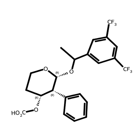 CC(O[C@H]1OCC[C@@H](OC(=O)O)[C@H]1c1ccccc1)c1cc(C(F)(F)F)cc(C(F)(F)F)c1